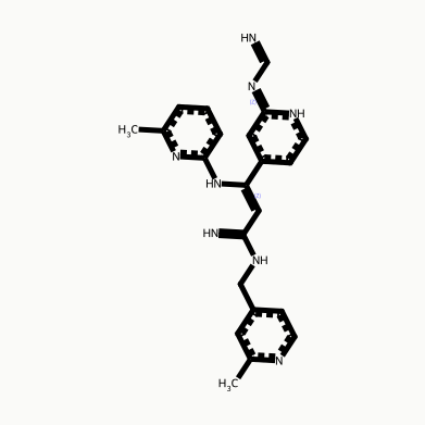 Cc1cc(CNC(=N)/C=C(\Nc2cccc(C)n2)c2cc[nH]/c(=N\C=N)c2)ccn1